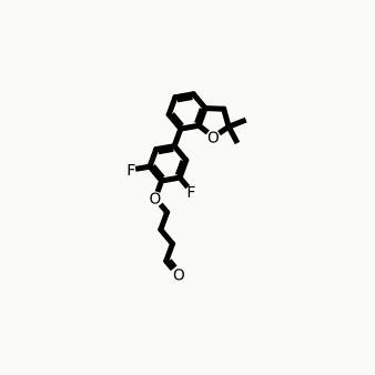 CC1(C)Cc2cccc(-c3cc(F)c(OCCCC=O)c(F)c3)c2O1